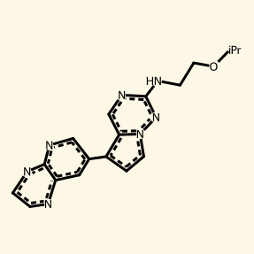 CC(C)OCCNc1ncc2c(-c3cnc4nccnc4c3)ccn2n1